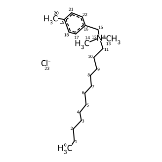 CCCCCCCCCCCC[N+](C)(C)Cc1ccc(C)cc1.[Cl-]